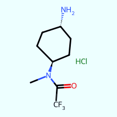 CN(C(=O)C(F)(F)F)[C@H]1CC[C@H](N)CC1.Cl